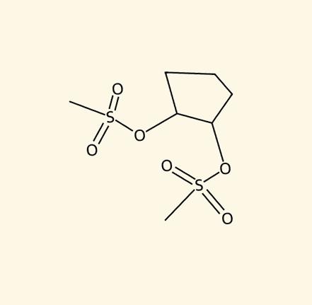 CS(=O)(=O)OC1CCCC1OS(C)(=O)=O